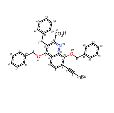 CCCCC#Cc1ccc2c(OCc3ccccc3)c(Cc3ccccc3)c(C(=O)O)nc2c1OCc1ccccc1